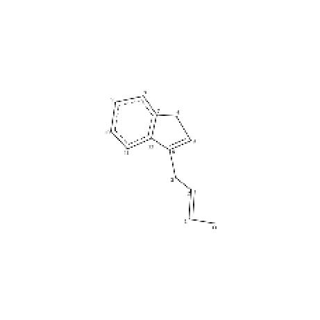 CC=CCC1=CCc2ccccc21